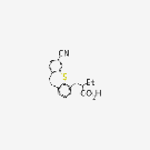 CCC(Cc1cccc2c1Sc1cc(C#N)ccc1CC2)C(=O)O